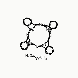 C[O][GaH2].c1ccc2c(c1)-c1nc-2nc2[nH]c(nc3nc(nc4[nH]c(n1)c1ccccc41)-c1ccccc1-3)c1ccccc21